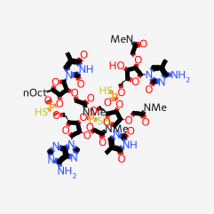 CCCCCCCC[C@H]1O[C@@H](n2cc(C)c(=O)[nH]c2=O)C(OCC(=O)NC)C1OP(=O)(S)OC[C@H]1O[C@@H](n2cnc3c(N)ncnc32)[C@@H](OCC(=O)NC)C1OP(=O)(S)OC[C@H]1O[C@@H](n2cc(C)c(=O)[nH]c2=O)[C@@H](OCC(=O)NC)C1OP(=O)(S)OC[C@H]1O[C@@H](n2cc(C)c(N)nc2=O)C(OCC(=O)NC)C1O